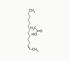 C/C=C\CCCCCCCCCCC.CC(=O)O